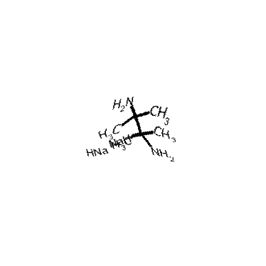 CC(C)(N)C(C)(C)N.[NaH].[NaH]